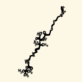 CC(C)(C)OC(=O)NCCSSC=CCC(C)(C)C(NC(=O)CCOCCOCCN=[N+]=[N-])C(=O)O